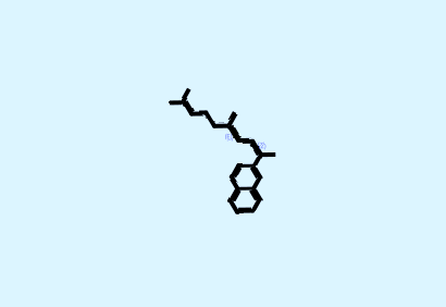 CC(C)=CCC/C(C)=C/C=C(/C)c1ccc2ccccc2c1